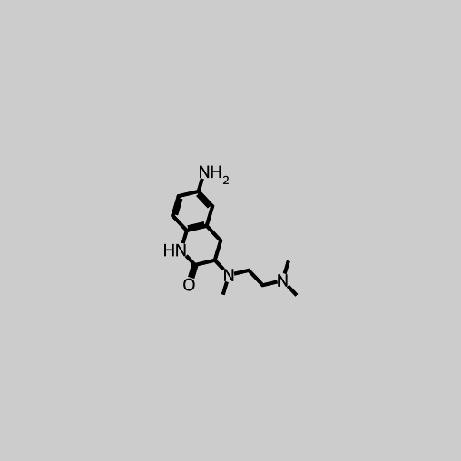 CN(C)CCN(C)C1Cc2cc(N)ccc2NC1=O